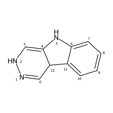 C1=NNC=C2Nc3ccccc3C12